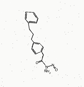 NN(N=O)C(=O)Cc1ccc(CCCc2ccccc2)cc1